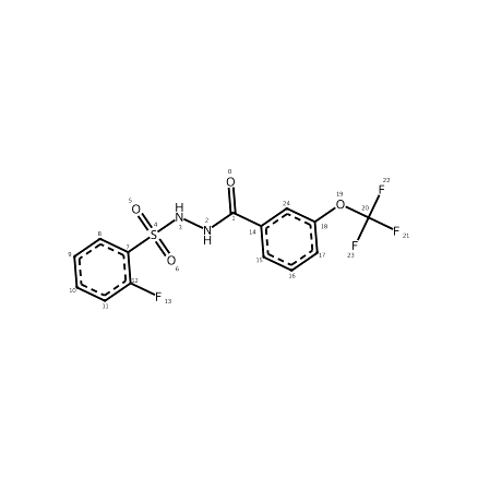 O=C(NNS(=O)(=O)c1ccccc1F)c1cccc(OC(F)(F)F)c1